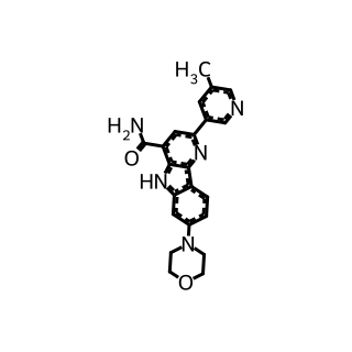 Cc1cncc(-c2cc(C(N)=O)c3[nH]c4cc(N5CCOCC5)ccc4c3n2)c1